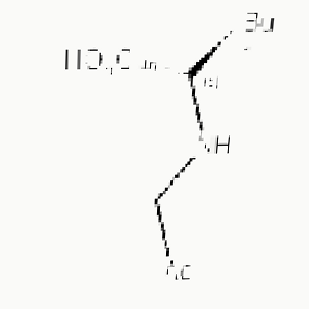 CC[C@H](C)[C@H](NCC(C)=O)C(=O)O